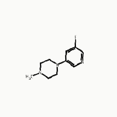 CN1CCN(c2cncc(F)c2)CC1